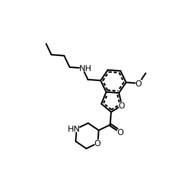 CCCCNCc1ccc(OC)c2oc(C(=O)C3CNCCO3)cc12